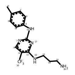 Cc1ccc(Nc2ncc(C(F)(F)F)c(NCCCN)n2)cc1